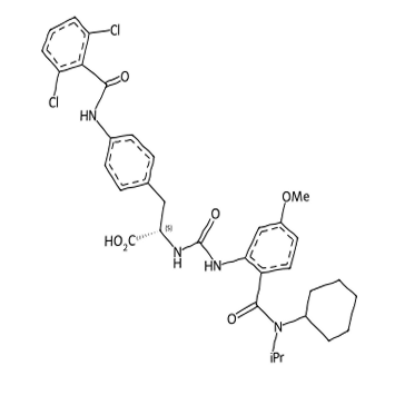 COc1ccc(C(=O)N(C(C)C)C2CCCCC2)c(NC(=O)N[C@@H](Cc2ccc(NC(=O)c3c(Cl)cccc3Cl)cc2)C(=O)O)c1